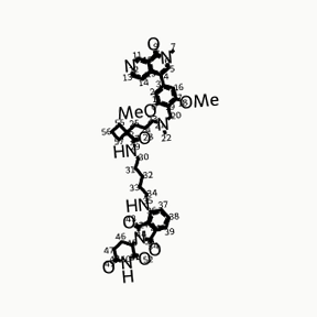 COc1cc(-c2cn(C)c(=O)c3cnccc23)cc(OC)c1CN(C)CCCC1(C(=O)NCCCCCNc2cccc3c2C(=O)N(C2CCC(=O)NC2=O)C3=O)CCC1